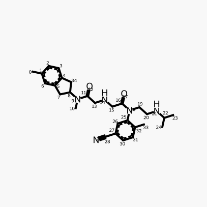 Cc1ccc2c(c1)CC(N(C)C(=O)CNCC(=O)N(CCNC(C)C)c1cc(C#N)ccc1C)C2